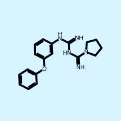 N=C(NC(=N)N1CCCC1)Nc1cccc(Oc2ccccc2)c1